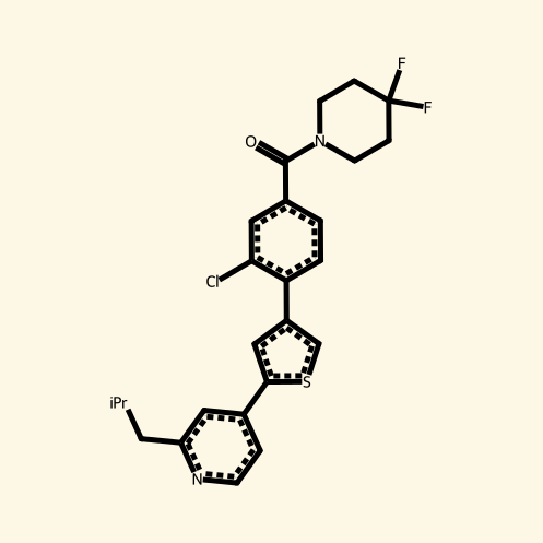 CC(C)Cc1cc(-c2cc(-c3ccc(C(=O)N4CCC(F)(F)CC4)cc3Cl)cs2)ccn1